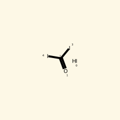 I.O=C(I)I